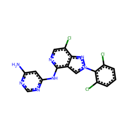 Nc1cc(Nc2ncc(Cl)c3nn(-c4c(Cl)cccc4Cl)cc23)ncn1